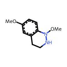 COc1ccc2c(c1)CCNN2OC